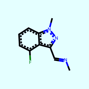 C/N=C/c1nn(C)c2cccc(F)c12